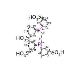 O=S(=O)(O)c1cccc(P(CCCP(c2cccc(S(=O)(=O)O)c2)c2cccc(S(=O)(=O)O)c2)c2cccc(S(=O)(=O)O)c2)c1